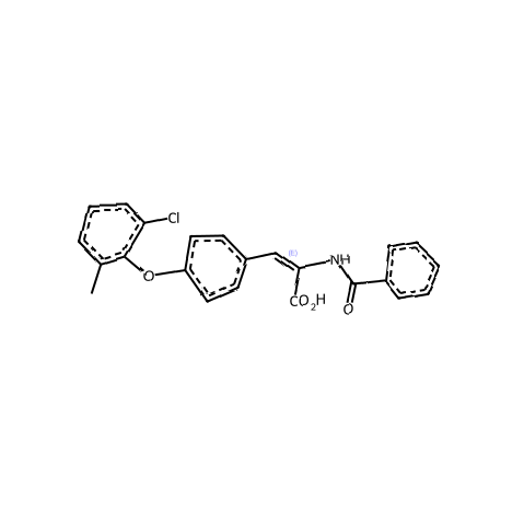 Cc1cccc(Cl)c1Oc1ccc(/C=C(/NC(=O)c2ccccc2)C(=O)O)cc1